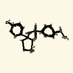 O=S(=O)(NC1(c2ccc(Cl)cn2)CCNCC1)c1ccc(OC(F)(F)F)cc1